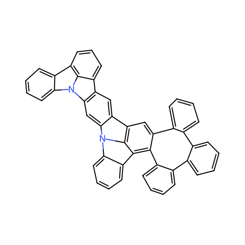 c1ccc2c(c1)-c1ccccc1-c1cc3c4cc5c6cccc7c8ccccc8n(c5cc4n4c5ccccc5c(c1-c1ccccc1-2)c34)c76